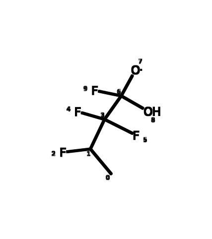 CC(F)C(F)(F)C([O])(O)F